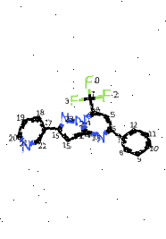 FC(F)(F)c1cc(-c2ccccc2)nc2cc(-c3cccnc3)nn12